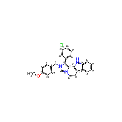 COc1ccc(Cn2c[n+]3ccc4c5ccccc5[nH]c4c3c2-c2ccccc2)cc1.[Cl-]